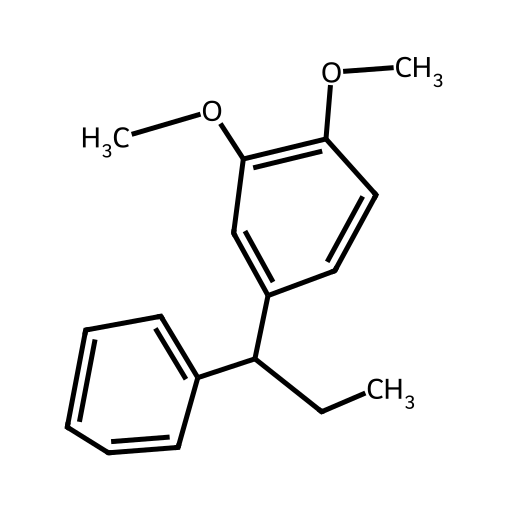 CCC(c1ccccc1)c1ccc(OC)c(OC)c1